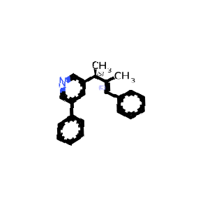 C/C(=C\c1ccccc1)[C@H](C)c1cncc(-c2ccccc2)c1